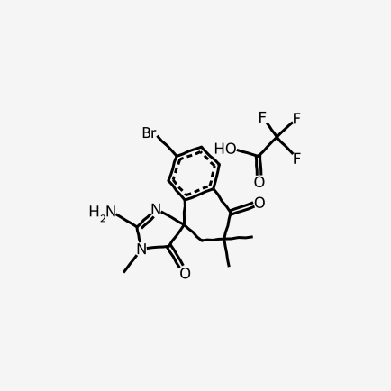 CN1C(=O)C2(CC(C)(C)C(=O)c3ccc(Br)cc32)N=C1N.O=C(O)C(F)(F)F